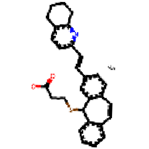 O=C([O-])CCSC1c2ccccc2C=Cc2ccc(C=Cc3ccc4c(n3)CCCC4)cc21.[Na+]